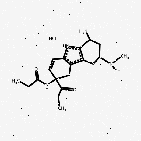 CCC(=O)NC1(C(=O)CC)C=Cc2[nH]c3c(c2C1)CC(N(C)C)CC3N.Cl